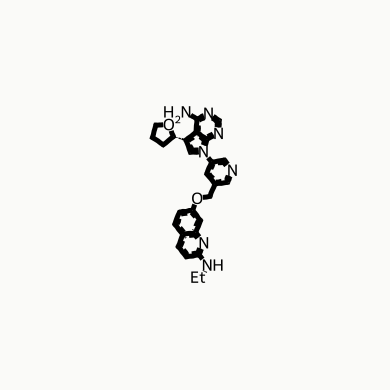 CCNc1ccc2ccc(OCc3cncc(-n4cc([C@@H]5CCCO5)c5c(N)ncnc54)c3)cc2n1